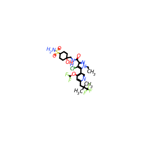 CCn1nc(C(=O)NCC2(O)CCC(S(N)(=O)=O)CC2)c(Cl)c1-c1cnc(CC(C)(C)C(F)(F)F)cc1OC(F)F